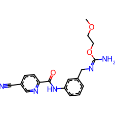 COCCO/C(N)=N\Cc1cccc(NC(=O)c2ccc(C#N)cn2)c1